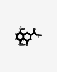 COC(=O)C1CC(=O)c2c(OC)ccc(OC)c2C1